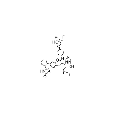 CCCc1c(Cc2ccc(-c3ccccc3-c3noc(=O)[nH]3)cc2)c(=O)n([C@H]2CC[C@H](OCC(O)(CF)CF)CC2)c2ncnn12.[KH]